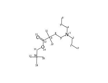 CCCN(CCC)CCC(C)(C)C(=O)OCC(C)(C)C